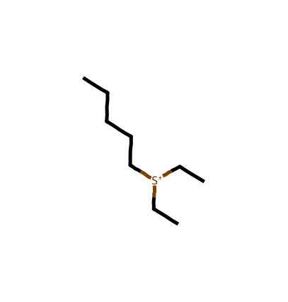 CCCCC[S+](CC)CC